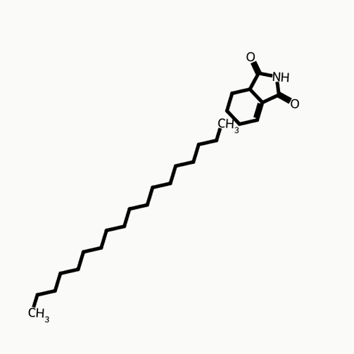 CCCCCCCCCCCCCCCCCC.O=C1NC(=O)C2CCCC=C12